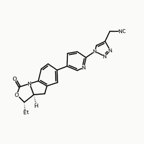 [C-]#[N+]Cc1cn(-c2ccc(-c3ccc4c(c3)C[C@H]3[C@H](CC)OC(=O)N43)cn2)nn1